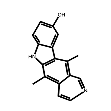 Cc1c2ccncc2c(C)c2c1[nH]c1ccc(O)cc12